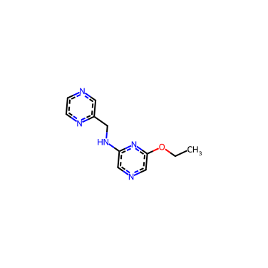 CCOc1cncc(NCc2cnccn2)n1